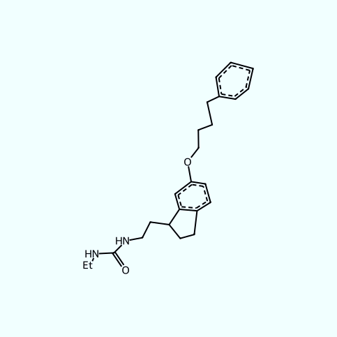 CCNC(=O)NCCC1CCc2ccc(OCCCCc3ccccc3)cc21